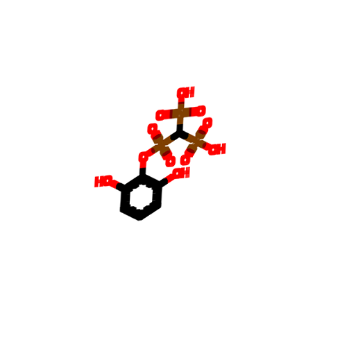 O=S(=O)(O)C(S(=O)(=O)O)S(=O)(=O)Oc1c(O)cccc1O